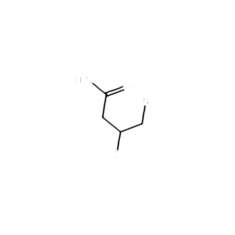 CCC(CN)CC(N)=O